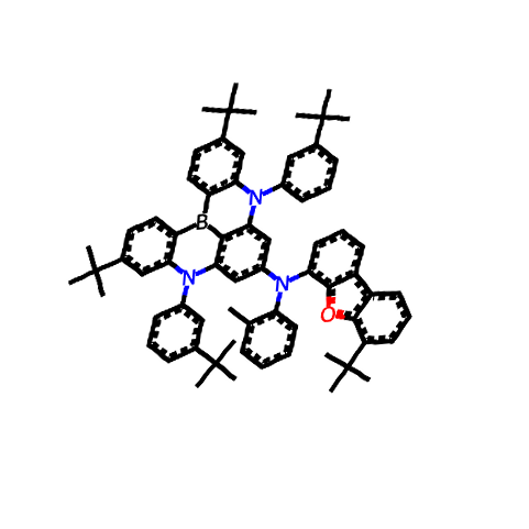 Cc1ccccc1N(c1cc2c3c(c1)N(c1cccc(C(C)(C)C)c1)c1cc(C(C)(C)C)ccc1B3c1ccc(C(C)(C)C)cc1N2c1cccc(C(C)(C)C)c1)c1cccc2c1oc1c(C(C)(C)C)cccc12